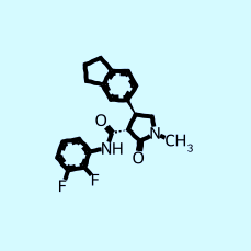 CN1C[C@H](c2ccc3c(c2)CCC3)[C@@H](C(=O)Nc2cccc(F)c2F)C1=O